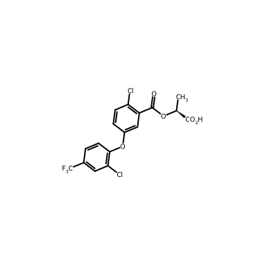 C[C@H](OC(=O)c1cc(Oc2ccc(C(F)(F)F)cc2Cl)ccc1Cl)C(=O)O